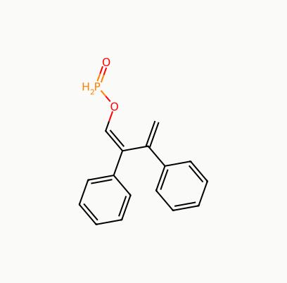 C=C(C(=CO[PH2]=O)c1ccccc1)c1ccccc1